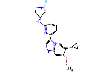 CCOc1cc2ncc(-c3cccc(NC4CCN(F)C4)n3)n2cc1C1CC1